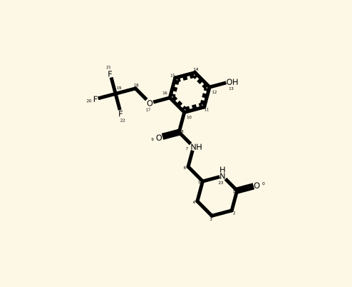 O=C1CCCC(CNC(=O)c2cc(O)ccc2OCC(F)(F)F)N1